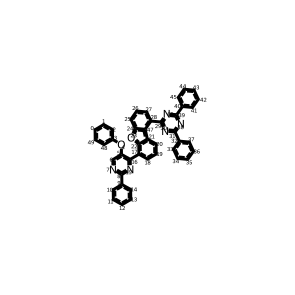 c1ccc(Oc2cnc(-c3ccccc3)nc2-c2cccc3c2oc2cccc(-c4nc(-c5ccccc5)nc(-c5ccccc5)n4)c23)cc1